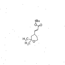 CC(C)(C)OC(=O)C=CC1CCOC(C)(C)C1